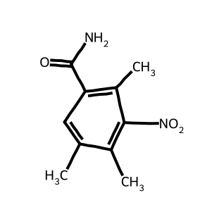 Cc1cc(C(N)=O)c(C)c([N+](=O)[O-])c1C